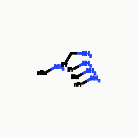 CC(C)CN.CC(C)N.CCC(C)N.CCCCN.CCCN